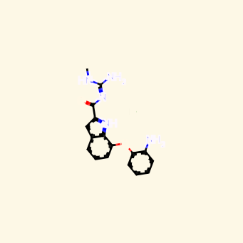 CNC(N)=NC(=O)c1cc2cccc(Oc3ccccc3N)c2[nH]1.Cl